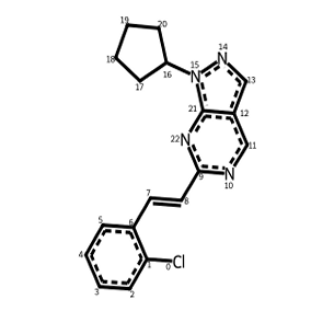 Clc1ccccc1C=Cc1ncc2cnn(C3CCCC3)c2n1